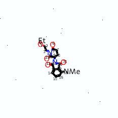 CCOCCN1C(=O)CCC(N2C(=O)c3cccc(NC)c3C2=O)C1=O